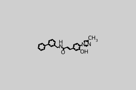 Cc1cn(-c2ccc(C=CC(=O)NCc3cccc(-c4ccccc4)c3)cc2O)cn1